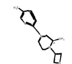 Cc1ccc(N2CCN(C3COC3)[C@H](C)C2)nc1